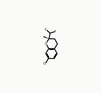 C[C@@]1(C(F)F)CCc2ccc(Cl)cc2O1